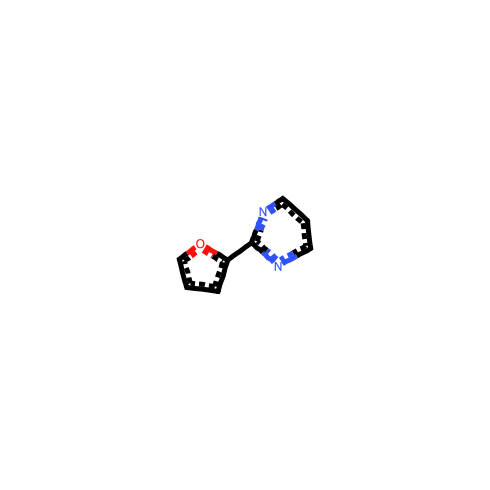 c1cnc(-c2ccco2)nc1